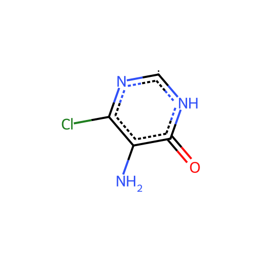 Nc1c(Cl)n[c][nH]c1=O